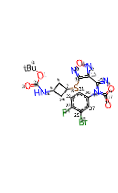 CC(C)(C)OC(=O)NC1CC(Sc2nonc2-c2noc(=O)n2-c2ccc(F)c(Br)c2)C1